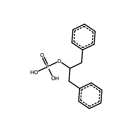 O=P(O)(O)OC(Cc1ccccc1)Cc1ccccc1